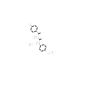 CC(C)(C)c1ccc(C(=O)NC(=O)N(S)c2ccc(N)cc2)cc1